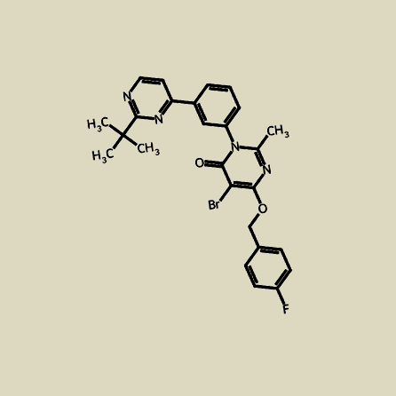 Cc1nc(OCc2ccc(F)cc2)c(Br)c(=O)n1-c1cccc(-c2ccnc(C(C)(C)C)n2)c1